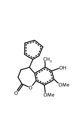 COc1c(O)c(C)c2c(c1OC)OC(=O)CCC2c1ccccc1